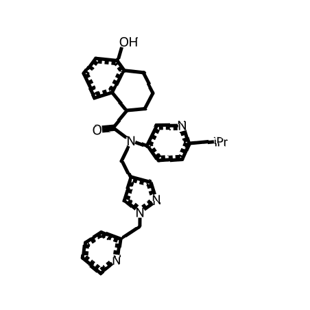 CC(C)c1ccc(N(Cc2cnn(Cc3ccccn3)c2)C(=O)C2CCCc3c(O)cccc32)cn1